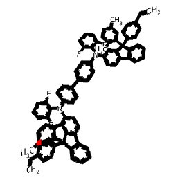 C=Cc1ccc(C2(c3cc(C)ccc3C)c3ccccc3-c3ccc(N(c4ccc(-c5ccc(N(c6ccc7c8c6-c6ccc(C)cc6C8(c6ccc(C=C)cc6)c6ccccc6-7)c6c(F)cccc6F)cc5)cc4)c4c(F)cccc4F)cc32)cc1